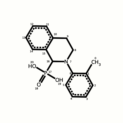 Cc1ccccc1N1CCc2ccccc2C1P(=O)(O)O